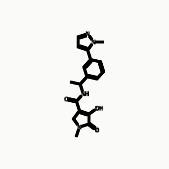 CC(NC(=O)C1=C(O)C(=O)N(C)C1)c1cccc(-c2ccnn2C)c1